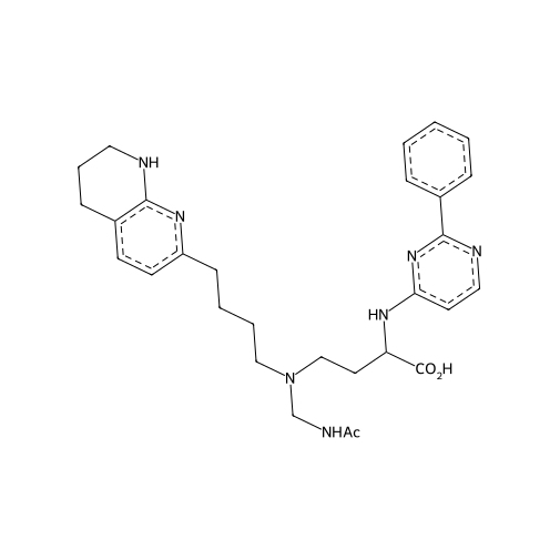 CC(=O)NCN(CCCCc1ccc2c(n1)NCCC2)CCC(Nc1ccnc(-c2ccccc2)n1)C(=O)O